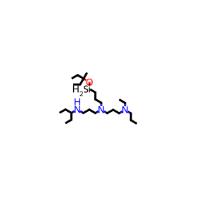 CCCN(CC)CCCN(CCCNC(CC)CC)CCC[SiH2]OC(C)(CC)CC